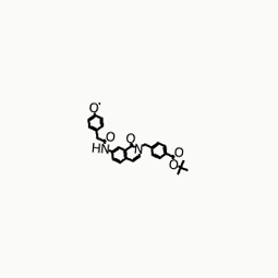 COc1ccc(CC(=O)Nc2ccc3ccn(Cc4ccc(C(=O)OC(C)(C)C)cc4)c(=O)c3c2)cc1